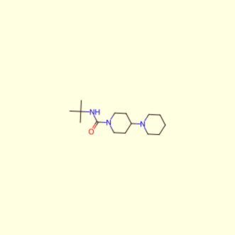 CC(C)(C)NC(=O)N1CCC(N2CCCCC2)CC1